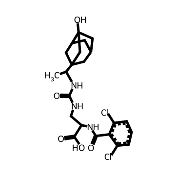 CC(NC(=O)NCC(NC(=O)c1c(Cl)cccc1Cl)C(=O)O)C12CC3CC(C1)C(O)(C3)C2